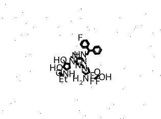 CCC(=O)N[C@H]1C[C@@H](n2cnc3c(NCC(c4ccccc4)c4ccc(F)cc4)nc(N4CC[C@@H](N)C4)nc32)[C@H](O)[C@@H]1O.O=C(O)C(F)(F)F